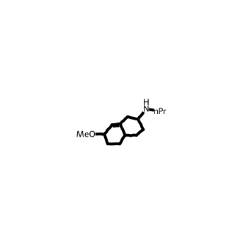 CCCNC1CCC2CCC(OC)C=C2C1